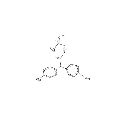 C=C(/C=C\C(O)=C/C)C(c1ccc(O)cc1)c1ccc(O)cc1